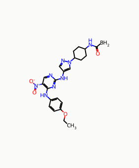 BC(=O)NC1CCC(n2cc(Nc3ncc([N+](=O)[O-])c(Nc4ccc(OCC)cc4)n3)cn2)CC1